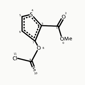 COC(=O)c1sccc1OC(=S)Cl